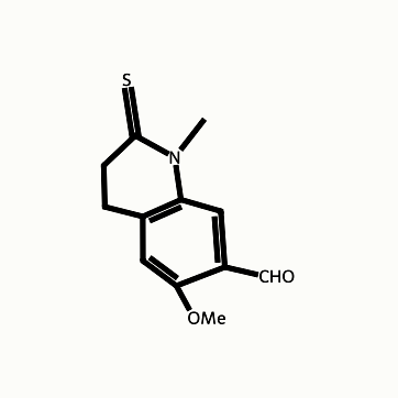 COc1cc2c(cc1C=O)N(C)C(=S)CC2